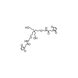 O=C(CCN1C(=O)C=CC1=O)NCCOCCCC(CCCO)(CCCO)CCCOCCNC(=O)CCN1C(=O)C=CC1=O